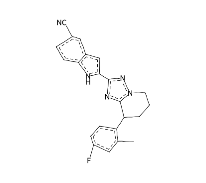 Cc1cc(F)ccc1C1CCCn2nc(-c3cc4cc(C#N)ccc4[nH]3)nc21